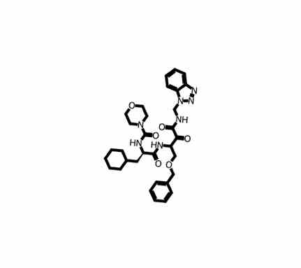 O=C(NCn1nnc2ccccc21)C(=O)C(COCc1ccccc1)NC(=O)[C@@H](CC1CCCCC1)NC(=O)N1CCOCC1